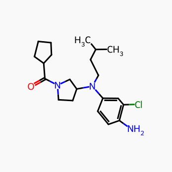 CC(C)CCN(c1ccc(N)c(Cl)c1)C1CCN(C(=O)C2CCCC2)C1